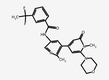 Cc1ncc(NC(=O)c2cccc(C(C)(F)F)c2)cc1-c1cc(N2CCOCC2)n(C)c(=O)c1